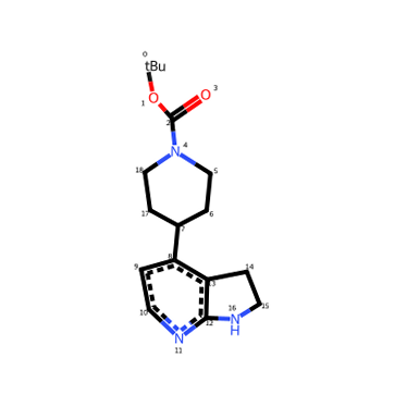 CC(C)(C)OC(=O)N1CCC(c2ccnc3c2CCN3)CC1